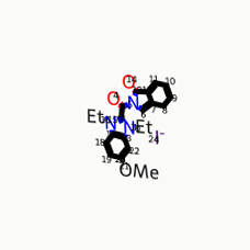 CCn1c(C(=O)N2C=C3CC=CC=C3C2=O)[n+](CC)c2ccc(OC)cc21.[I-]